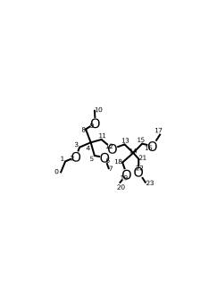 CCOCC(COC)(COC)COCC(COC)(COC)COC